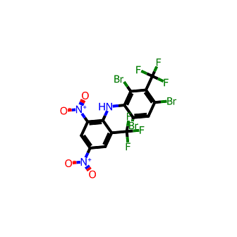 O=[N+]([O-])c1cc([N+](=O)[O-])c(Nc2c(Br)cc(Br)c(C(F)(F)F)c2Br)c(C(F)(F)F)c1